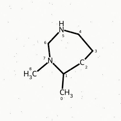 CC1CCCNCN1C